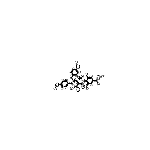 COC(=O)c1c(N(Cc2ccc(OC)cc2)Cc2ccc(OC)cc2)ncn(-c2c(C)cc(C(C)OC)cc2C)c1=O